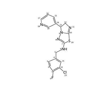 Fc1ccc(CNC2=NN3C(=NCC3c3cccnc3)S2)cc1Cl